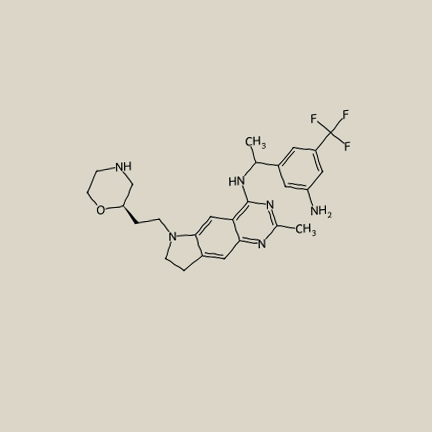 Cc1nc(NC(C)c2cc(N)cc(C(F)(F)F)c2)c2cc3c(cc2n1)CCN3CC[C@@H]1CNCCO1